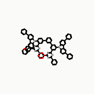 c1ccc(-c2ccc3c(c2)c2cc(-c4ccccc4)ccc2n3-c2cc(-c3cccc(-c4ccc(-n5c6ccc(-c7ccccc7)cc6c6cc(-c7ccccc7)ccc65)c(-c5nc(-c6ccccc6)nc(-c6ccccc6)n5)c4)c3)cc(-c3nc(-c4ccccc4)nc(-c4ccccc4)n3)c2)cc1